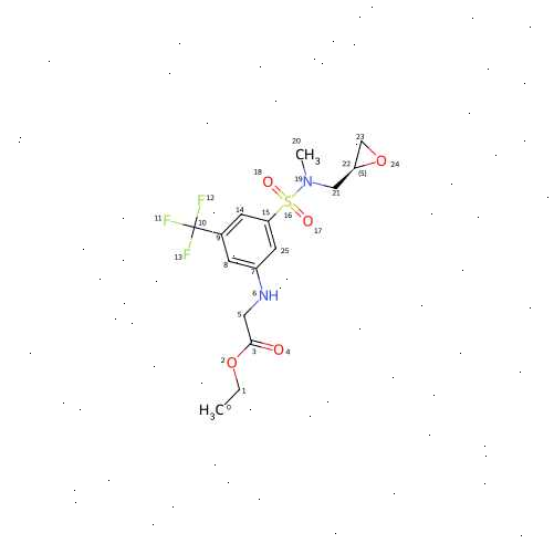 CCOC(=O)CNc1cc(C(F)(F)F)cc(S(=O)(=O)N(C)C[C@H]2CO2)c1